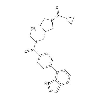 CCN(C[C@@H]1CCN(C(=O)C2CC2)C1)C(=O)c1ccc(-c2cccc3cc[nH]c23)cc1